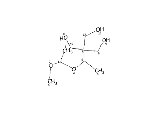 COC(C)OC(C)C(CO)(CO)CO